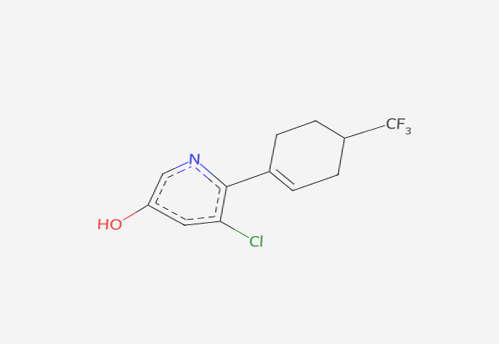 Oc1cnc(C2=CCC(C(F)(F)F)CC2)c(Cl)c1